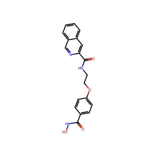 O=C(NO)c1ccc(OCCNC(=O)c2cc3ccccc3cn2)cc1